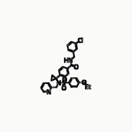 CCOc1ccc(S(=O)(=O)N(Cc2ccccn2)C2(c3ccc(C(=O)NCc4cccc(Cl)c4)cc3)CC2)cc1